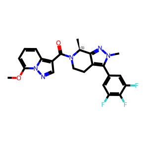 COc1cccc2c(C(=O)N3CCc4c(nn(C)c4-c4cc(F)c(F)c(F)c4)[C@@H]3C)cnn12